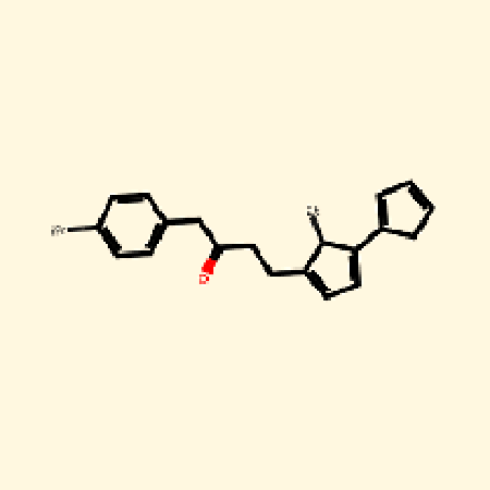 CCC1C(CCC(=O)Cc2ccc(C(C)C)cc2)=CC=C1C1=CC=CC1